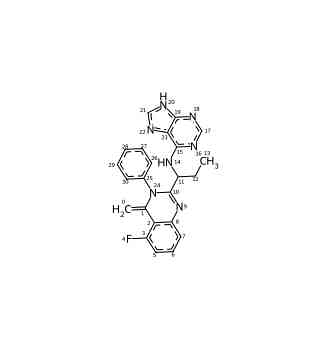 C=C1c2c(F)cccc2N=C(C(CC)Nc2ncnc3[nH]cnc23)N1c1ccccc1